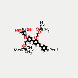 C=C(C)C(=O)OCCOc1cc(CCc2ccc(CCCCC)cc2)ccc1-c1ccc(OCCC(CC)(CO)CO)c(CCOC(OC)C(=C)C)c1